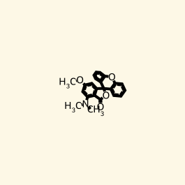 COc1cc(N(C)C)c2c(c1)C1(OC2=O)c2ccccc2Oc2ccccc21